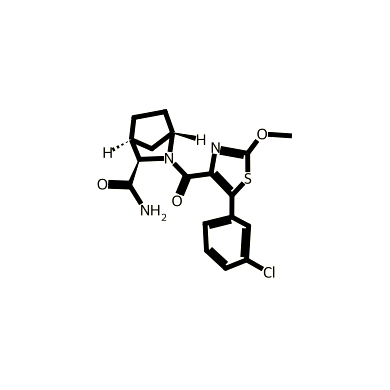 COc1nc(C(=O)N2[C@H]3CC[C@@H](C3)[C@@H]2C(N)=O)c(-c2cccc(Cl)c2)s1